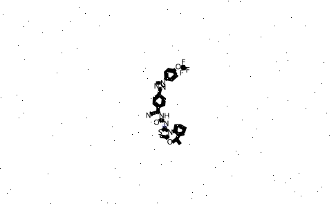 CC(C)c1ccccc1N1C(=O)CS/C1=N\C(=O)NC(C#N)c1ccc(-c2ncn(-c3ccc(OC(F)(F)F)cc3)n2)cc1